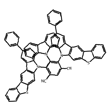 N#Cc1cc(C#N)c(-n2c3ccc(-c4ccccc4)cc3c3cc4c(cc32)sc2ccccc24)c(-n2c3ccccc3c3ccccc32)c1-n1c2ccc(-c3ccccc3)cc2c2cc3c(cc21)sc1ccccc13